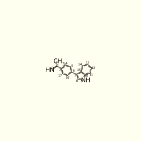 CC(=N)c1ccc(-c2c[nH]c3ccccc23)cc1